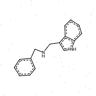 [c]1ccc(CNCc2c[nH]c3ccccc23)cc1